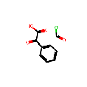 O=C(O)C(=O)c1ccccc1.O=CCl